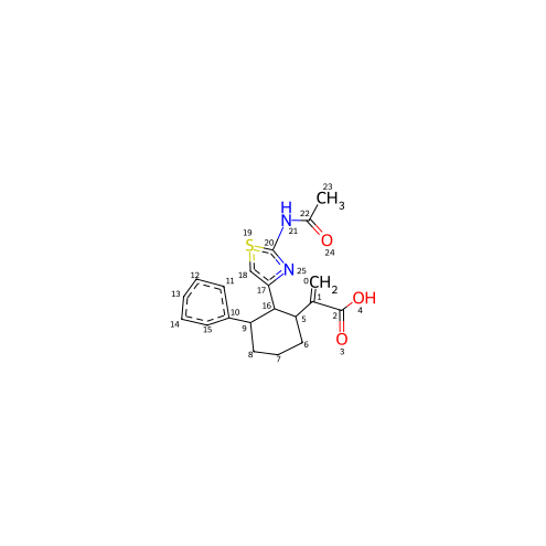 C=C(C(=O)O)C1CCCC(c2ccccc2)C1c1csc(NC(C)=O)n1